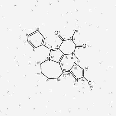 Cn1c(=O)c2c(-c3ccccc3)n3c(c2n(C)c1=O)[C@@H](c1nc(Cl)cs1)CCCC3